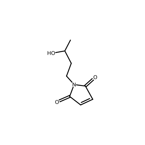 CC(O)CCN1C(=O)C=CC1=O